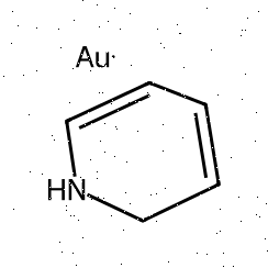 C1=CCNC=C1.[Au]